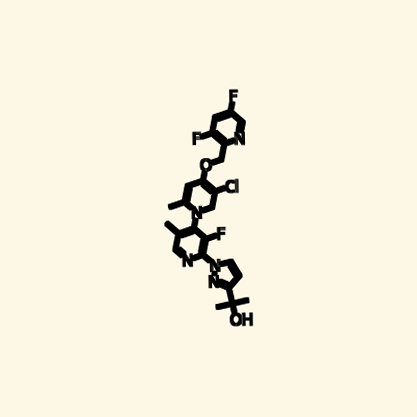 CC1=CC(OCc2ncc(F)cc2F)=C(Cl)CN1c1c(C)cnc(-n2ccc(C(C)(C)O)n2)c1F